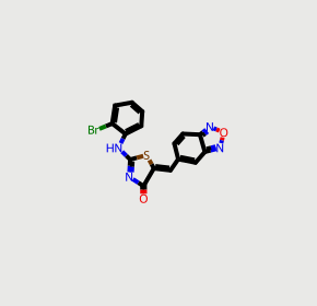 O=C1N=C(Nc2ccccc2Br)S/C1=C\c1ccc2nonc2c1